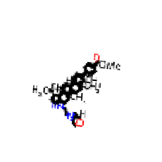 C=C(C)[C@@H]1CC[C@]2(NCCN3C[C@@H]4CC3CO4)CC[C@]3(C)[C@H](CC[C@@H]4[C@@]5(C)CC=C(c6ccc(C(=O)OC)cc6)C(C)(C)[C@@H]5CC[C@]43C)[C@@H]12